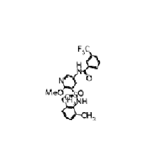 COc1ncc(NC(=O)c2cccc(C(F)(F)F)c2)cc1S(=O)(=O)Nc1c(C)cccc1C